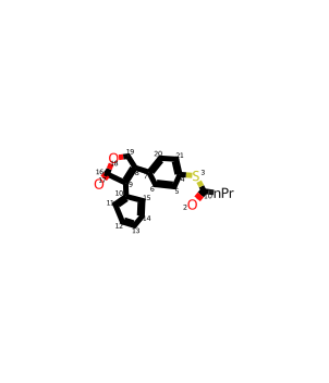 CCCC(=O)Sc1ccc(C2=C(c3ccccc3)C(=O)OC2)cc1